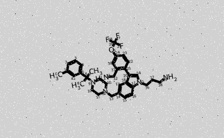 Cc1cccc(C(C)(C)N2CCN(Cc3ccc4c(c3)c(-c3ccc(OC(F)(F)F)cc3CN)cn4CCCN)CC2)c1